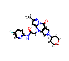 CC(C)(C)c1cc2n(CC(=O)Nc3ccc(F)cn3)c3c(c(=O)n2n1)CN(C1CCOCC1)C3